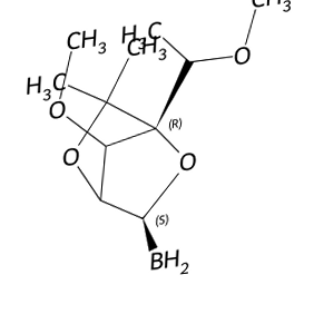 B[C@@H]1O[C@]2(C(C)OC)C(OC)C1OC2(C)C